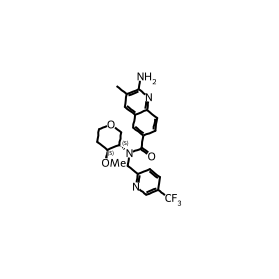 CO[C@H]1CCOC[C@@H]1N(Cc1ccc(C(F)(F)F)cn1)C(=O)c1ccc2nc(N)c(C)cc2c1